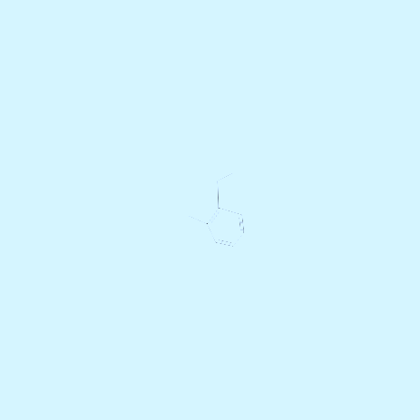 CCc1[c]cccc1O